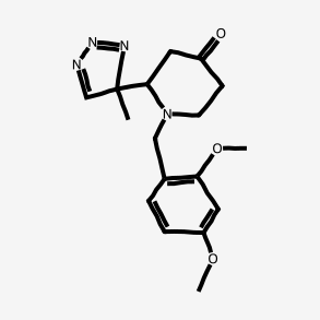 COc1ccc(CN2CCC(=O)CC2C2(C)C=NN=N2)c(OC)c1